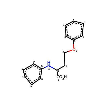 O=C(O)C(CCOc1ccccc1)Nc1ccccc1